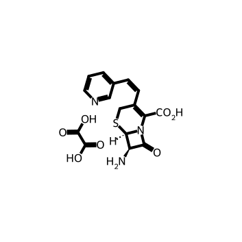 N[C@@H]1C(=O)N2C(C(=O)O)=C(/C=C\c3cccnc3)CS[C@H]12.O=C(O)C(=O)O